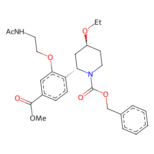 CCO[C@H]1CCN(C(=O)OCc2ccccc2)[C@H](c2ccc(C(=O)OC)cc2OCCNC(C)=O)C1